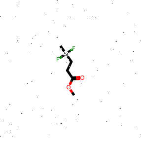 COC(=O)CC[Si](C)(F)F